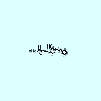 CCCCCCNC(=O)SCCCN1CCN(CC=Cc2ccccc2)CC1.Cl.Cl